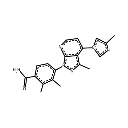 Cc1cn(-c2ccnc3c2c(C)nn3-c2ccc(C(N)=O)c(C)c2C)cn1